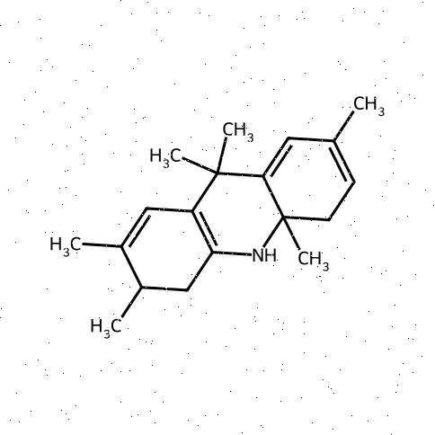 CC1=CCC2(C)NC3=C(C=C(C)C(C)C3)C(C)(C)C2=C1